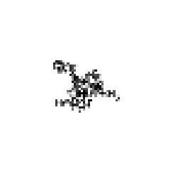 C#Cc1c(F)ccc2cc(O)cc(-c3ncc4c(N5CCC(F)(F)C[C@H](NC(=O)C=C)C5)nc(OCC5(CN6CCOCC6)CC5)nc4c3F)c12